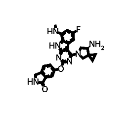 CNc1cc(F)cc2c1[nH]c1nc(Oc3ccc4c(c3)C(=O)NC4)nc(N3C[C@H](N)C4(CC4)C3)c12